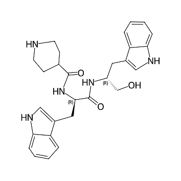 O=C(N[C@H](Cc1c[nH]c2ccccc12)C(=O)N[C@@H](CO)Cc1c[nH]c2ccccc12)C1CCNCC1